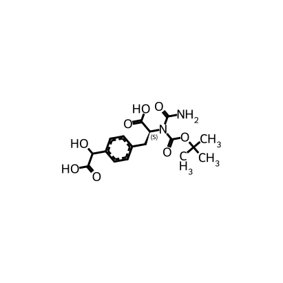 CC(C)(C)OC(=O)N(C(N)=O)[C@@H](Cc1ccc(C(O)C(=O)O)cc1)C(=O)O